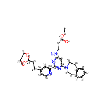 CCOC(=O)CCNc1cc(N2CCc3ccccc3CC2)nc(-c2cc(CCC3OCCO3)ccn2)n1